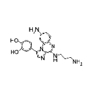 NCCCNc1nc2ccc(N)cc2n2c(-c3ccc(O)c(O)c3)cnc12